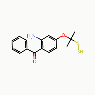 CC(C)(Oc1ccc(C(=O)c2ccccc2)c(N)c1)SS